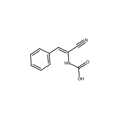 N#CC(=Cc1cc[c]cc1)NC(=O)O